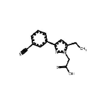 CCc1cc(-c2cccc(C#N)c2)nn1CC(=O)O